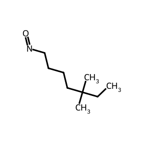 CCC(C)(C)CCCCN=O